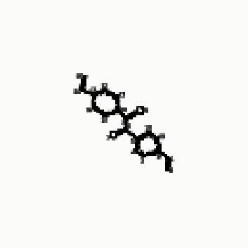 C=Cc1ccc(C(=O)C(=O)c2ccc(C=C)cc2)cc1